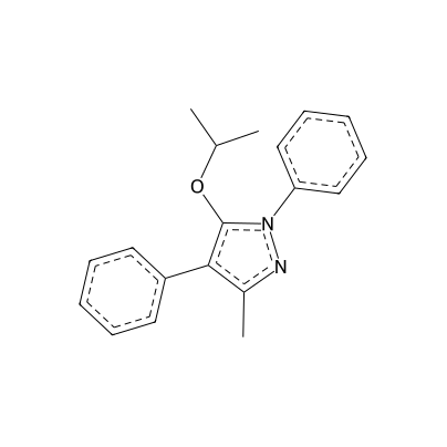 Cc1nn(-c2ccccc2)c(OC(C)C)c1-c1ccccc1